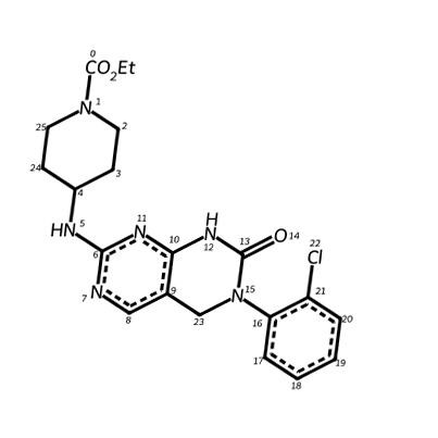 CCOC(=O)N1CCC(Nc2ncc3c(n2)NC(=O)N(c2ccccc2Cl)C3)CC1